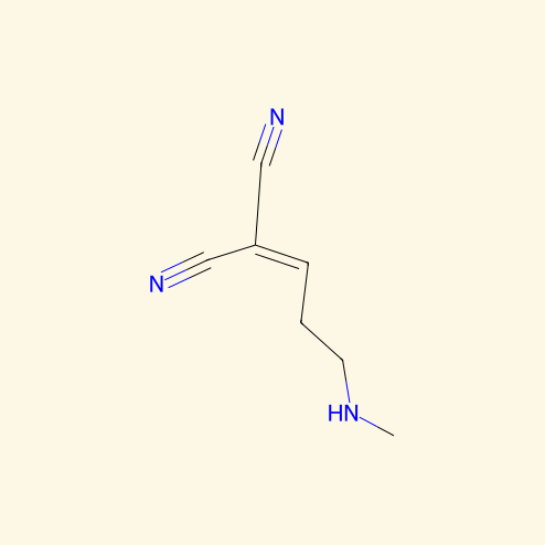 CNCCC=C(C#N)C#N